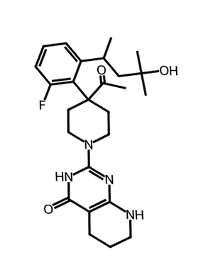 CC(=O)C1(c2c(F)cccc2C(C)CC(C)(C)O)CCN(c2nc3c(c(=O)[nH]2)CCCN3)CC1